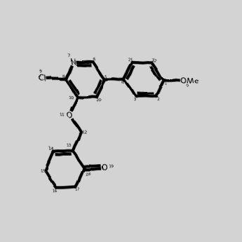 COc1ccc(-c2cnc(Cl)c(OCC3=CCCCC3=O)c2)cc1